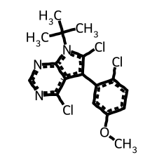 COc1ccc(Cl)c(-c2c(Cl)n(C(C)(C)C)c3ncnc(Cl)c23)c1